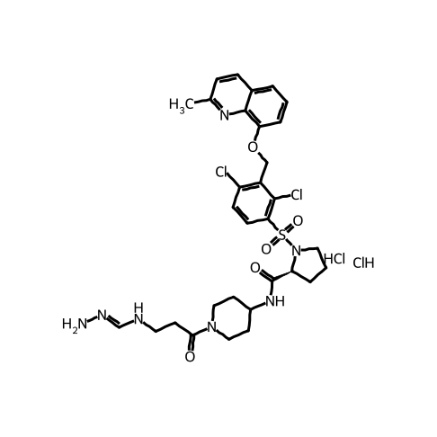 Cc1ccc2cccc(OCc3c(Cl)ccc(S(=O)(=O)N4CCC[C@H]4C(=O)NC4CCN(C(=O)CCNC=NN)CC4)c3Cl)c2n1.Cl.Cl